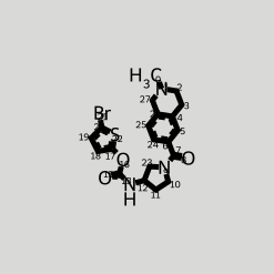 CN1CCc2cc(C(=O)N3CCC(NC(=O)Oc4ccc(Br)s4)C3)ccc2C1